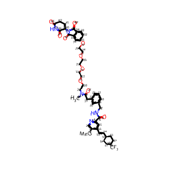 COc1cnc(C(=O)NCc2cccc(CC(=O)N(C)CCOCCOCCOCCOc3ccc4c(c3)C(=O)N(C3CCC(=O)NC3=O)C4=O)c2)cc1C=CC1CCC(C(F)(F)F)CC1